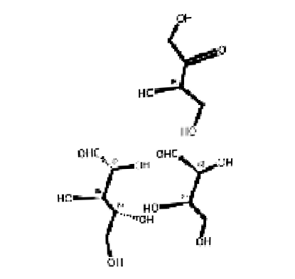 O=C(CO)[C@H](O)CO.O=C[C@@H](O)[C@H](O)CO.O=C[C@H](O)[C@H](O)[C@H](O)CO